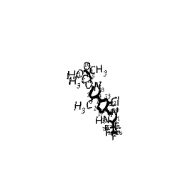 Cc1cc(OCC(C)(C)C(=O)O)ncc1-c1ccc(-c2ncc(C(F)(F)C(F)(F)F)[nH]2)c(Cl)c1